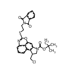 CC(C)(C)OC(=O)N1CC(CCl)c2c1cc1c3c(cccc23)N=C(SCCN2C(=O)c3ccccc3C2=O)O1